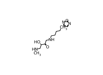 CCCCCNCC(=O)C(O)CNC.c1cnon1